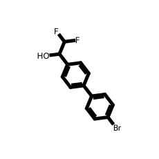 OC(c1ccc(-c2ccc(Br)cc2)cc1)C(F)F